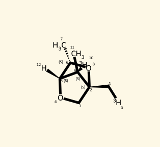 [3H]C[C@]12CO[C@H]([C@H](C)O1)[C@]2([3H])C